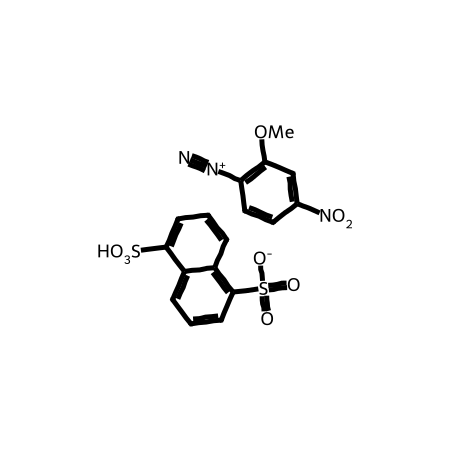 COc1cc([N+](=O)[O-])ccc1[N+]#N.O=S(=O)([O-])c1cccc2c(S(=O)(=O)O)cccc12